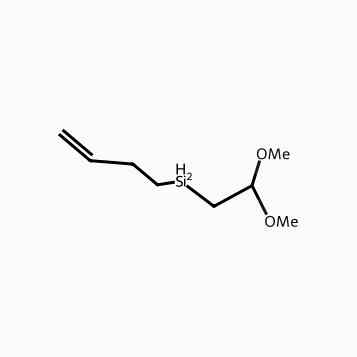 C=CCC[SiH2]CC(OC)OC